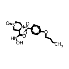 CCCCOc1ccc(S(=O)(=O)N2CC[S+]([O-])CC2C(=O)NO)cc1